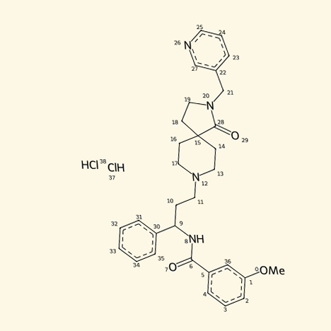 COc1cccc(C(=O)NC(CCN2CCC3(CC2)CCN(Cc2cccnc2)C3=O)c2ccccc2)c1.Cl.Cl